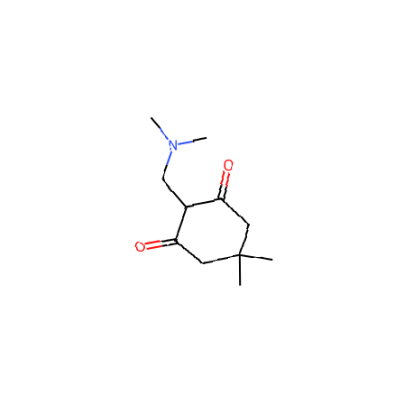 CN(C)CC1C(=O)CC(C)(C)CC1=O